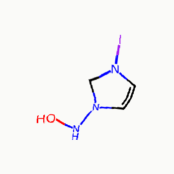 ONN1C=CN(I)C1